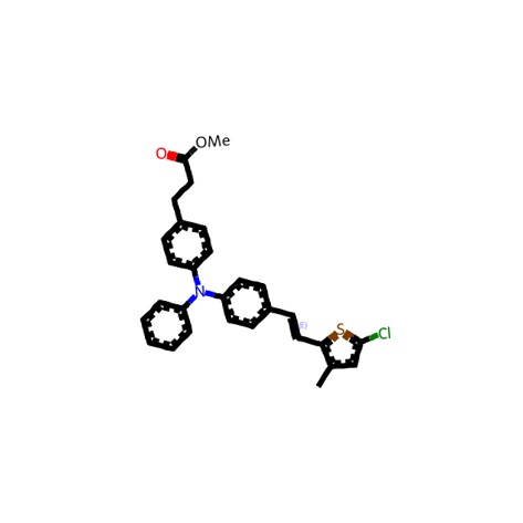 COC(=O)CCc1ccc(N(c2ccccc2)c2ccc(/C=C/c3sc(Cl)cc3C)cc2)cc1